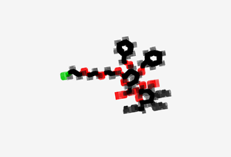 CC(=O)OC[C@H]1O[C@](O)(O[C@H]2[C@H](OCc3ccccc3)[C@@H](OCc3ccccc3)[C@H](OCCOCCOCCCl)O[C@@H]2CO)[C@H](O)[C@@H](OC(C)=O)[C@H]1OC(C)=O